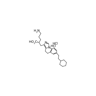 Cl.Cl.NCCC[C@@H](Cc1ncn2c1CCc1cc(CCC3CCCCC3)ccc1-2)C(=O)O